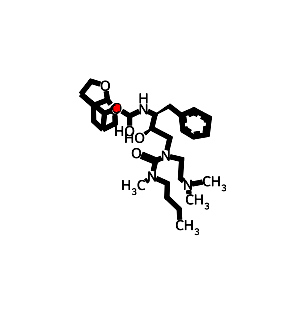 CCCCN(C)C(=O)N(CCN(C)C)C[C@@H](O)[C@H](Cc1ccccc1)NC(O)OC1C2COC3OCC1C3C2